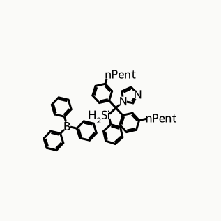 CCCCCc1cccc(C([SiH2]c2ccccc2)(c2cccc(CCCCC)c2)n2ccnc2)c1.c1ccc(B(c2ccccc2)c2ccccc2)cc1